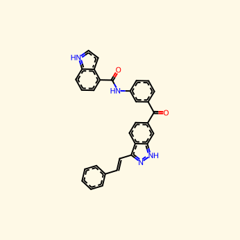 O=C(c1cccc(NC(=O)c2cccc3[nH]ccc23)c1)c1ccc2c(/C=C/c3ccccc3)n[nH]c2c1